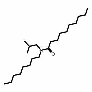 CCCCCCCCCC(=O)N(CCCCCCCC)CC(C)C